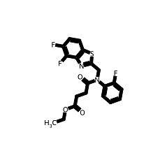 CCOC(=O)CCC(=O)N(Cc1nc2c(F)c(F)ccc2s1)c1ccccc1F